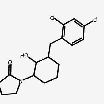 O=C1CCCN1C1CCCC(Cc2ccc(Cl)cc2Cl)C1O